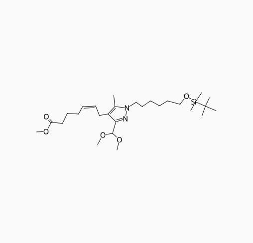 COC(=O)CCC/C=C\Cc1c(C(OC)OC)nn(CCCCCCO[Si](C)(C)C(C)(C)C)c1C